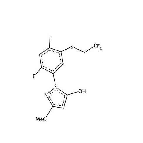 COc1cc(O)n(-c2cc(SCC(F)(F)F)c(C)cc2F)n1